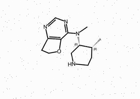 C[C@@H]1CCNC[C@@H]1N(C)c1ncnc2c1OCC2